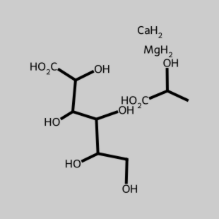 CC(O)C(=O)O.O=C(O)C(O)C(O)C(O)C(O)CO.[CaH2].[MgH2]